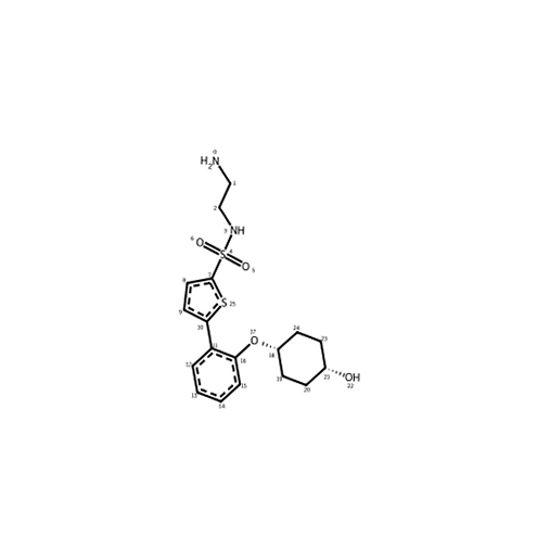 NCCNS(=O)(=O)c1ccc(-c2ccccc2O[C@H]2CC[C@@H](O)CC2)s1